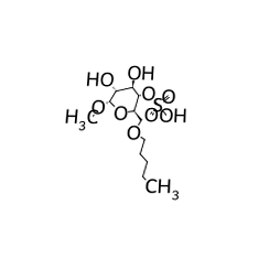 CCCCCOC[C@H]1O[C@H](OC)[C@H](O)[C@@H](O)[C@@H]1OS(=O)(=O)O